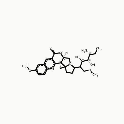 CC[C@@H](N)[C@H](O)[C@H](O)C(COC)C1CCC23C[C@@]24c2nc5ccc(OC)cc5cc2C(=O)N[C@H]4CN13